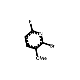 COc1ccc(F)nc1Br